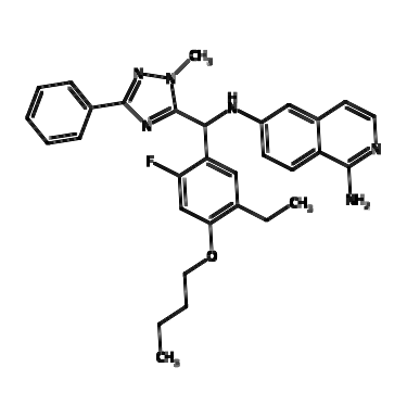 CCCCOc1cc(F)c(C(Nc2ccc3c(N)nccc3c2)c2nc(-c3ccccc3)nn2C)cc1CC